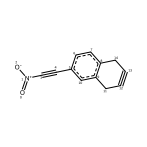 O=[N+]([O-])C#Cc1ccc2c(c1)CC#CC2